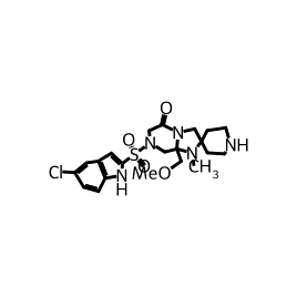 COCC12CN(S(=O)(=O)c3cc4cc(Cl)ccc4[nH]3)CC(=O)N1CC1(CCNCC1)N2C